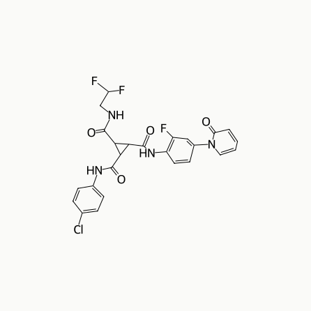 O=C(NCC(F)F)C1C(C(=O)Nc2ccc(Cl)cc2)C1C(=O)Nc1ccc(-n2ccccc2=O)cc1F